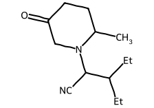 CCC(CC)C(C#N)N1CC(=O)CCC1C